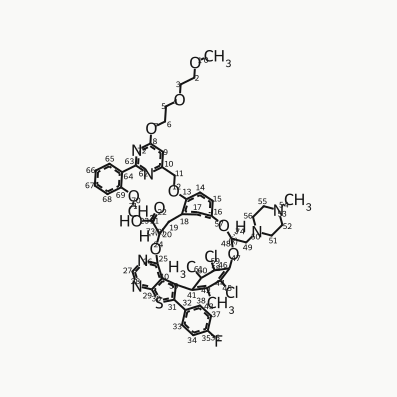 COCCOCCOc1cc(COc2ccc3cc2C[C@H](C(=O)O)Oc2ncnc4sc(-c5ccc(F)cc5)c(c24)C2=C(C)C(Cl)=C(O[C@H](CN4CCN(C)CC4)O3)C(Cl)C2C)nc(-c2ccccc2OC)n1